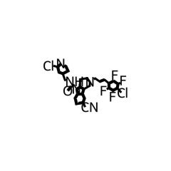 N#Cc1ccc2c(c1)c1c(n2C(=O)NCc2ccnc(Cl)c2)CCN(C/C=C/c2c(F)c(F)c(Cl)c(F)c2F)C1